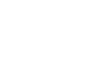 CCCC[P][P]c1ccccc1